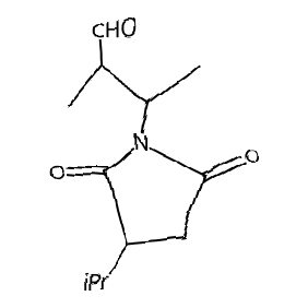 CC(C)C1CC(=O)N(C(C)C(C)C=O)C1=O